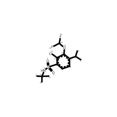 CC(C)c1ccc(S(=O)(=O)NC(C)(C)C)c(Cl)c1OC(F)F